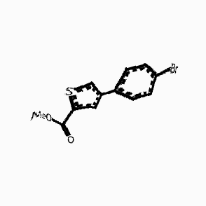 COC(=O)c1cc(-c2ccc(Br)cc2)cs1